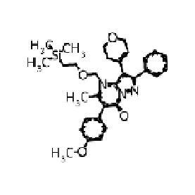 COc1ccc(-c2c(C)n(COCC[Si](C)(C)C)c3c(C4=CCOCC4)c(-c4ccccc4)nn3c2=O)cc1